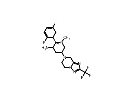 CN1CC(N2CCn3nc(C(F)(F)F)nc3C2)CC(N)[C@H]1C1CC(F)=CC=C1F